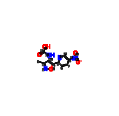 Cc1noc(-c2ccc([N+](=O)[O-])cn2)c1NC(=O)O